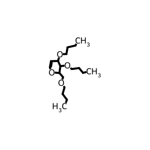 CCCCOCC1OC=CC(OCCCC)C1OCCCC